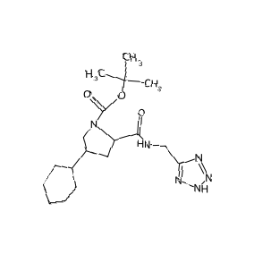 CC(C)(C)OC(=O)N1CC(C2CCCCC2)CC1C(=O)NCc1nn[nH]n1